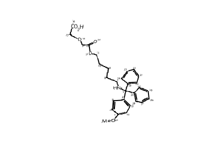 COc1ccc(C(NCCCCCOC(=O)COCC(=O)O)(c2ccccc2)c2ccccc2)cc1